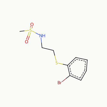 CS(=O)(=O)NCCSc1ccccc1Br